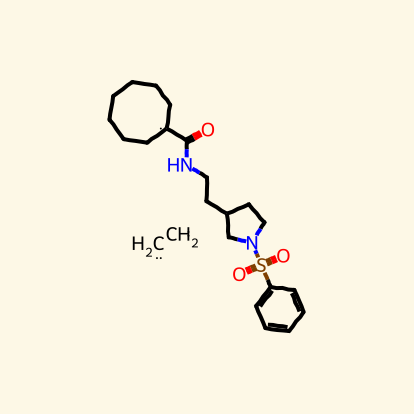 O=C(NCCC1CCN(S(=O)(=O)c2ccccc2)C1)[C]1CCCCCCC1.[CH2].[CH2]